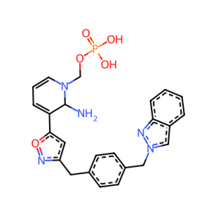 NC1C(c2cc(Cc3ccc(Cn4cc5ccccc5n4)cc3)no2)=CC=CN1COP(=O)(O)O